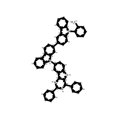 Cc1ccccc1-n1c2ccccc2c2cc(-c3ccc4c5ccccc5n(-c5ccc6oc7c(-c8ccccc8)nc(-c8ccccc8)nc7c6c5)c4c3)ccc21